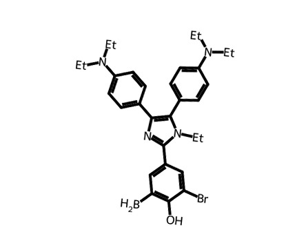 Bc1cc(-c2nc(-c3ccc(N(CC)CC)cc3)c(-c3ccc(N(CC)CC)cc3)n2CC)cc(Br)c1O